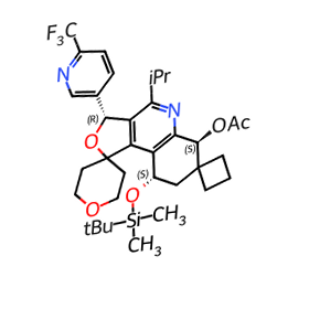 CC(=O)O[C@@H]1c2nc(C(C)C)c3c(c2[C@@H](O[Si](C)(C)C(C)(C)C)CC12CCC2)C1(CCOCC1)O[C@@H]3c1ccc(C(F)(F)F)nc1